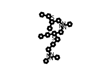 c1ccc(-c2ccc(-c3ccc(-c4cccc(-c5nc(-c6ccccc6)nc(-c6cccc(-c7cc(-c8ccccc8)cc8c7sc7ccc(-c9ccccc9)cc78)c6)n5)c4)c4c3sc3c(-c5ccc(-c6cccc(-c7nc(-c8ccccc8)nc(-c8ccccc8)n7)c6)cc5)cccc34)cc2)cc1